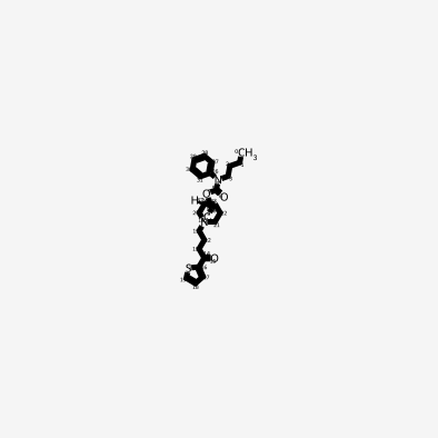 CCCCN(C(=O)O[C@H]1C[N+]2(CCCC(=O)c3cccs3)CCC1CC2)c1ccccc1